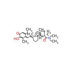 CCC1=CC(=O)C(O)=C(C)/C1=C/C=C1\CCC[C@@]2(C)[C@@H]3C[C@](C)(C(=O)N(CC)CC)CC[C@]3(C)CC[C@]12C